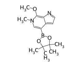 COc1c2nccc-2c(B2OC(C)(C)C(C)(C)O2)cn1C